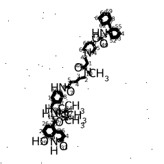 CN(CCCCC(=O)Nc1ccc(CNC[C@H](O[Si](C)(C)C(C)(C)C)c2ccc(O)c3[nH]c(=O)ccc23)cc1)C(=O)CCN1CCC(OC(=O)Nc2ccccc2-c2ccccc2)CC1